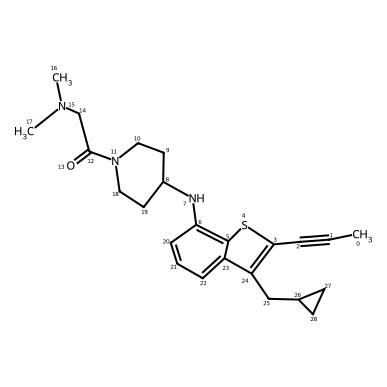 CC#Cc1sc2c(NC3CCN(C(=O)CN(C)C)CC3)cccc2c1CC1CC1